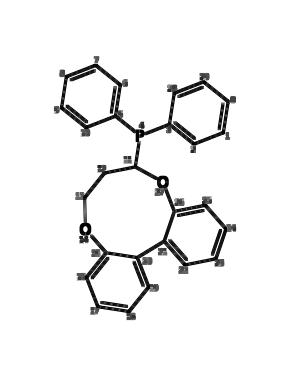 c1ccc(P(c2ccccc2)C2CCOc3ccccc3-c3ccccc3O2)cc1